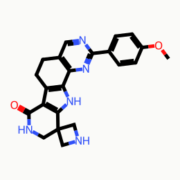 COc1ccc(-c2ncc3c(n2)-c2[nH]c4c(c2CC3)C(=O)NCC42CNC2)cc1